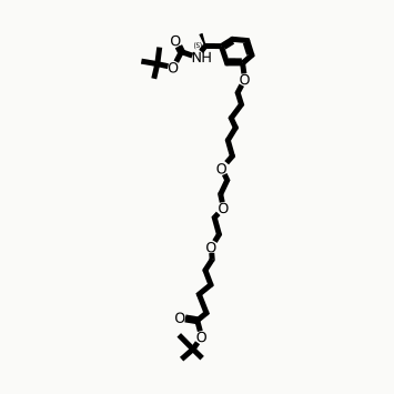 C[C@H](NC(=O)OC(C)(C)C)c1cccc(OCCCCCCOCCOCCOCCCCCC(=O)OC(C)(C)C)c1